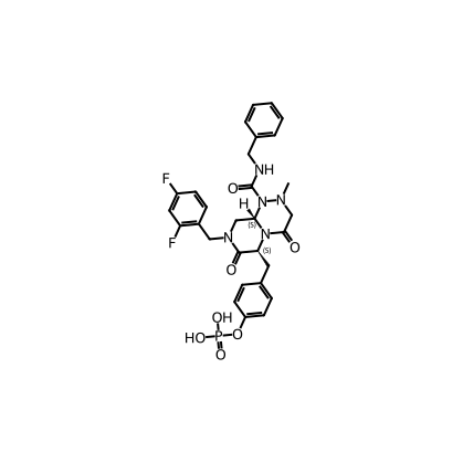 CN1CC(=O)N2[C@@H](Cc3ccc(OP(=O)(O)O)cc3)C(=O)N(Cc3ccc(F)cc3F)C[C@@H]2N1C(=O)NCc1ccccc1